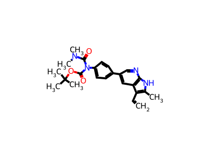 C=Cc1c(C)[nH]c2ncc(-c3ccc(N(C(=O)OC(C)(C)C)C(=O)N(C)C)cc3)cc12